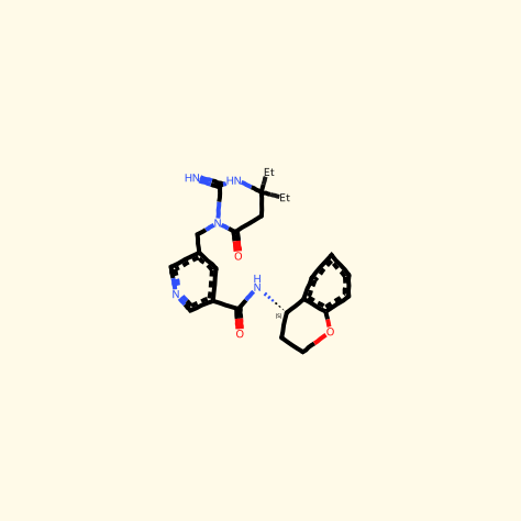 CCC1(CC)CC(=O)N(Cc2cncc(C(=O)N[C@H]3CCOc4ccccc43)c2)C(=N)N1